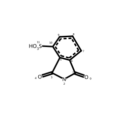 O=C1[N]C(=O)c2c1cccc2S(=O)(=O)O